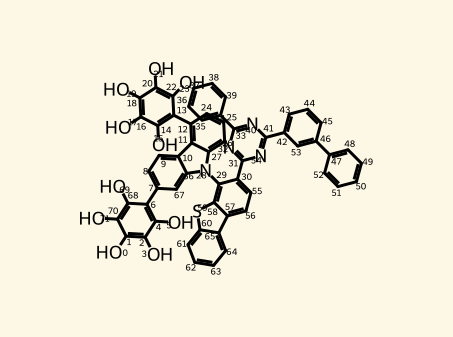 Oc1c(O)c(O)c(-c2ccc3c4c(-c5c(O)c(O)c(O)c(O)c5O)cccc4n(-c4c(-c5nc(-c6ccccc6)nc(-c6cccc(-c7ccccc7)c6)n5)ccc5c4sc4ccccc45)c3c2)c(O)c1O